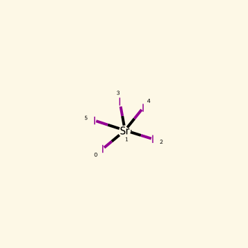 [I][Sr]([I])([I])([I])[I]